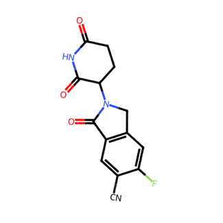 N#Cc1cc2c(cc1F)CN(C1CCC(=O)NC1=O)C2=O